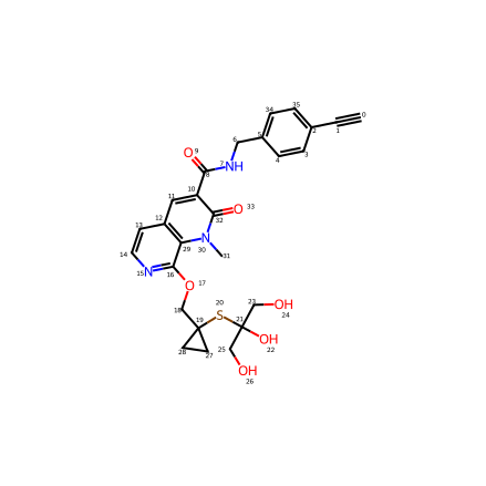 C#Cc1ccc(CNC(=O)c2cc3ccnc(OCC4(SC(O)(CO)CO)CC4)c3n(C)c2=O)cc1